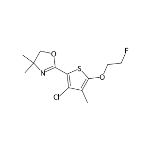 Cc1c(OCCF)sc(C2=NC(C)(C)CO2)c1Cl